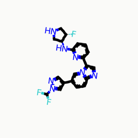 FC(F)n1cc(-c2ccc3ncc(-c4cccc(N[C@H]5CNC[C@@H]5F)n4)n3c2)cn1